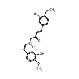 COc1ccc(/C=C\[S+]([O-])CC(=O)/C=C/c2ccc(OC)c(O)c2)cc1O